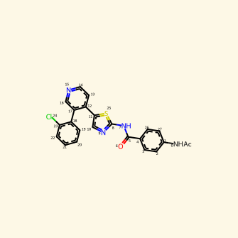 CC(=O)Nc1ccc(C(=O)Nc2ncc(-c3ccncc3-c3ccccc3Cl)s2)cc1